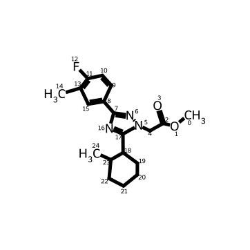 COC(=O)Cn1nc(-c2ccc(F)c(C)c2)nc1C1CCCCC1C